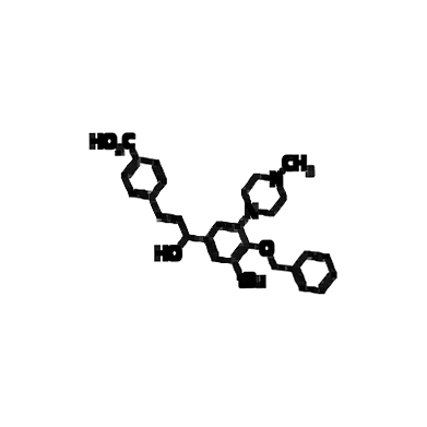 CN1CCN(c2cc(C(O)C=Cc3ccc(C(=O)O)cc3)cc(C(C)(C)C)c2OCc2ccccc2)CC1